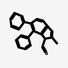 CC1=Cc2ccc(-c3ccccc3)c(-c3ccccc3)c2C1C=O